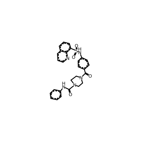 O=C(Nc1ccccc1)N1CCN(C(=O)c2ccc(NS(=O)(=O)c3cccc4cccnc34)cc2)CC1